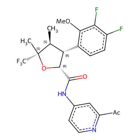 COc1c([C@@H]2[C@H](C(=O)Nc3ccnc(C(C)=O)c3)O[C@](C)(C(F)(F)F)[C@H]2C)ccc(F)c1F